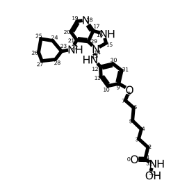 O=C(CCCCCCOc1ccc(NN2CNc3nccc(NC4CCCCC4)c32)cc1)NO